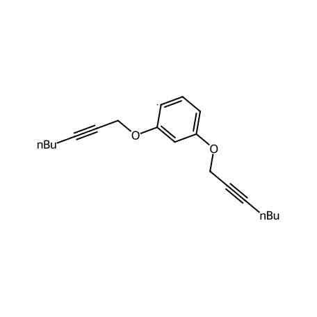 CCCCC#CCOc1[c]ccc(OCC#CCCCC)c1